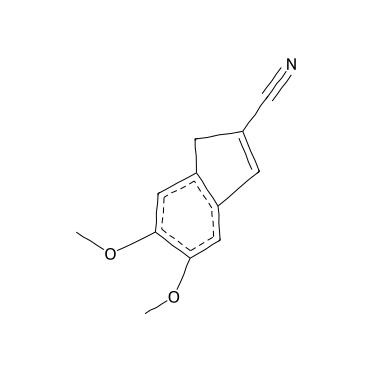 COc1cc2c(cc1OC)CC(C#N)=C2